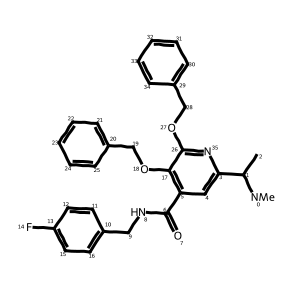 CNC(C)c1cc(C(=O)NCc2ccc(F)cc2)c(OCc2ccccc2)c(OCc2ccccc2)n1